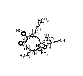 NCCCC[C@H](NC(=O)[C@@H]1CCCN1C(=O)[C@@H]1CSSC[C@H](NC(=O)CNC(=O)CNC(=O)CN)C(=O)N2C(c3ccc(O)cc3)[C@@H]2C(=O)N[C@@H](Cc2ccccc2)C(=O)N[C@@H](CCC(N)=O)C(=O)N[C@@H](CC(N)=O)C(=O)N1)C(=O)NCC(N)=O